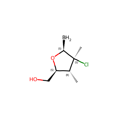 B[C@@H]1O[C@H](CO)[C@@H](C)[C@]1(C)Cl